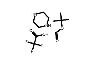 C1CNCCN1.CC(C)(C)OC=O.O=C(O)C(F)(F)F